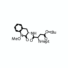 CCCCCCC[C@H](CC(=O)OC(C)(C)C)C(=O)N[C@H]1Cc2ccccc2N(OC)C1=O